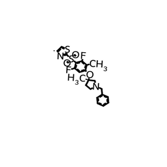 Cc1c(O[C@@]2(C)CCN(Cc3ccccc3)C2)cc(F)c(S(=O)(=O)c2n[c]cs2)c1F